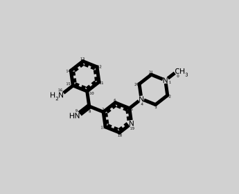 CN1CCN(c2cc(C(=N)c3ccccc3N)ccn2)CC1